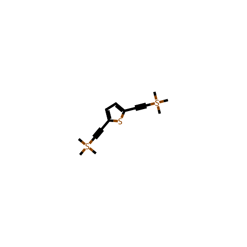 CS(C)(C)C#Cc1ccc(C#CS(C)(C)C)s1